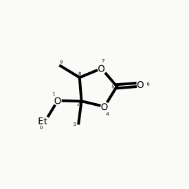 CCOC1(C)OC(=O)OC1C